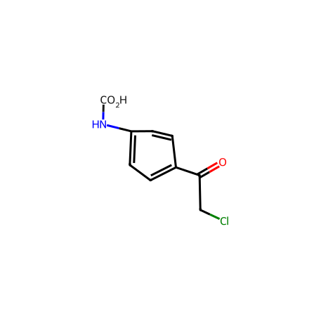 O=C(O)Nc1ccc(C(=O)CCl)cc1